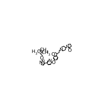 C[Si](C)(C)CCOCn1nccc1-c1ccc(Oc2ccc3c(c2)OCC3CCN2CCC(N3CCCC3=O)CC2)nc1